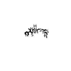 Cc1nc(NCCSCc2csc(CN(C)C)n2)[nH]c(=S)c1-c1cccnc1